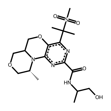 CC(CO)NC(=O)c1nc2c(c(C(C)(C)S(C)(=O)=O)n1)OCC1COC[C@@H](C)N21